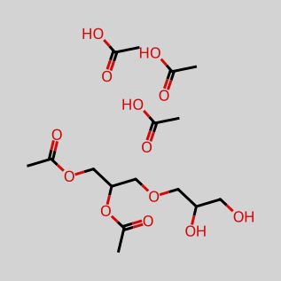 CC(=O)O.CC(=O)O.CC(=O)O.CC(=O)OCC(COCC(O)CO)OC(C)=O